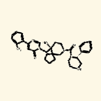 O=C(N1CC[C@@](O)(Cn2cnc(-c3ccccc3C(F)(F)F)cc2=O)C2(CCCC2)C1)N1CCNC[C@H]1c1ccccc1